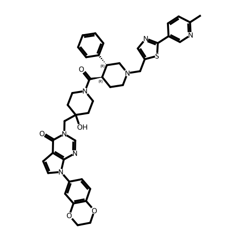 Cc1ccc(-c2ncc(CN3CC[C@@H](C(=O)N4CCC(O)(Cn5cnc6c(ccn6-c6ccc7c(c6)OCCO7)c5=O)CC4)[C@H](c4ccccc4)C3)s2)cn1